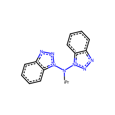 CC(C)N(n1nnc2ccccc21)n1nnc2ccccc21